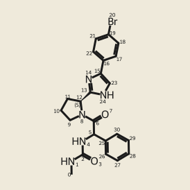 CNC(=O)NC(C(=O)N1CCC[C@H]1c1nc(-c2ccc(Br)cc2)c[nH]1)c1ccccc1